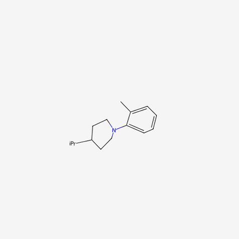 Cc1ccccc1N1CCC(C(C)C)CC1